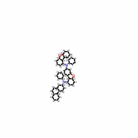 c1ccc(N(c2ccc3c(c2)oc2cccc(N(c4ccccc4)c4ccc5c(ccc6ccccc65)c4)c23)c2cccc3oc4ccccc4c23)cc1